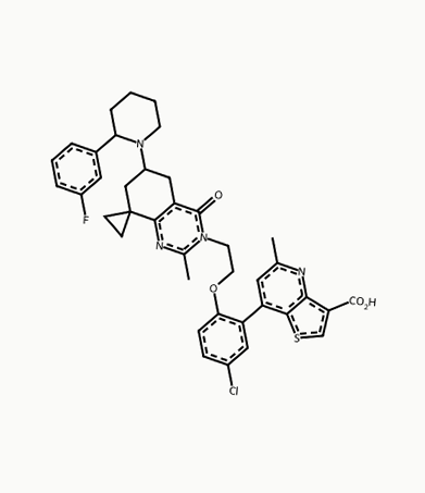 Cc1cc(-c2cc(Cl)ccc2OCCn2c(C)nc3c(c2=O)CC(N2CCCCC2c2cccc(F)c2)CC32CC2)c2scc(C(=O)O)c2n1